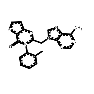 Cc1ccccc1-n1c(Cn2cnc3c(N)ncnc32)nc2ccsc2c1=O